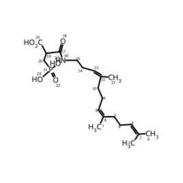 CC(C)=CCCC(C)=CCCC(C)=CCCNC(=O)C(CP(=O)(O)O)C(=O)O